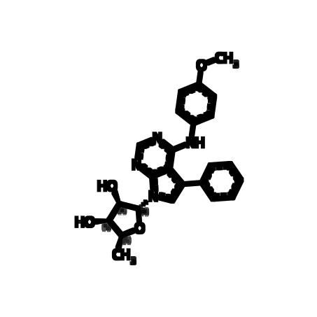 COc1ccc(Nc2ncnc3c2c(-c2ccccc2)cn3[C@@H]2O[C@@H](C)[C@@H](O)[C@H]2O)cc1